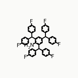 Nc1c(C(c2ccc(F)cc2)c2ccc(F)cc2)cc(C(c2ccc(F)cc2)c2ccc(F)cc2)cc1C(c1ccc(F)cc1)c1ccc(F)cc1